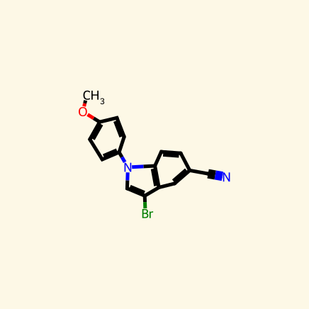 COc1ccc(-n2cc(Br)c3cc(C#N)ccc32)cc1